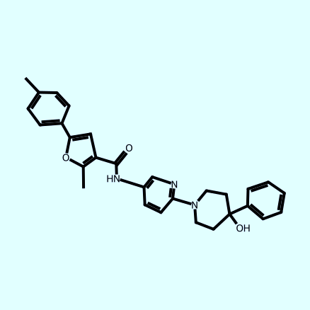 Cc1ccc(-c2cc(C(=O)Nc3ccc(N4CCC(O)(c5ccccc5)CC4)nc3)c(C)o2)cc1